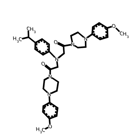 COc1ccc(N2CCN(C(=O)CN(CC(=O)N3CCN(c4ccc(OC)cc4)CC3)c3ccc(C(C)C)cc3)CC2)cc1